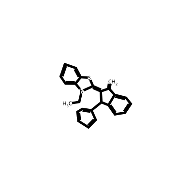 C=C1/C(=C2\Sc3ccccc3N2CC)C(c2ccccc2)c2ccccc21